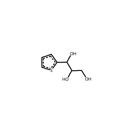 OCC(O)C(O)c1cccs1